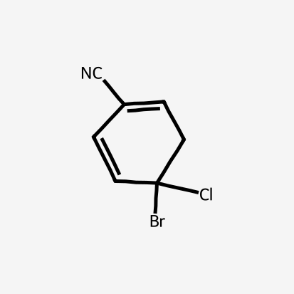 N#CC1=CCC(Cl)(Br)C=C1